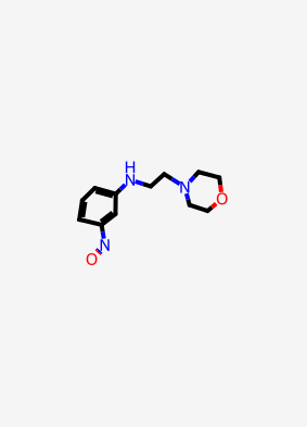 O=Nc1cccc(NCCN2CCOCC2)c1